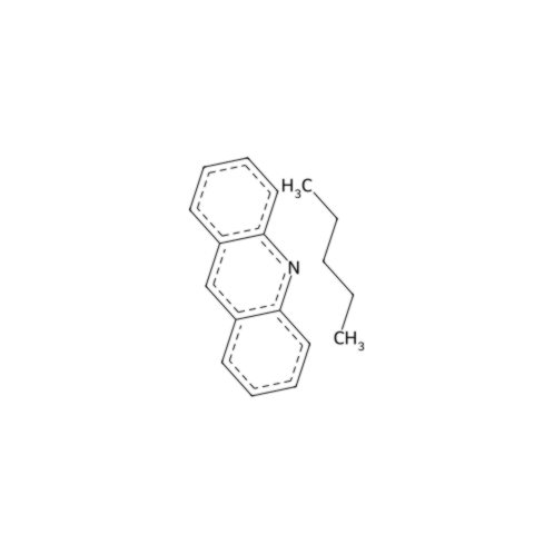 CCCCC.c1ccc2nc3ccccc3cc2c1